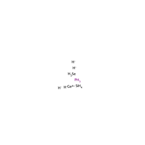 P.[Ge+4].[H-].[H-].[H-].[H-].[SeH2].[SiH4]